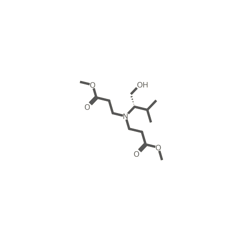 COC(=O)CCN(CCC(=O)OC)[C@H](CO)C(C)C